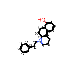 OC1=CC=CC2=C3CCCN(CCc4ccccc4)C3CCC12